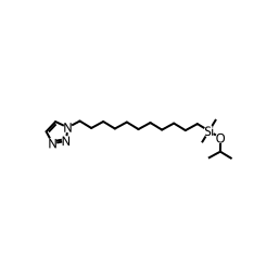 CC(C)O[Si](C)(C)CCCCCCCCCCCn1ccnn1